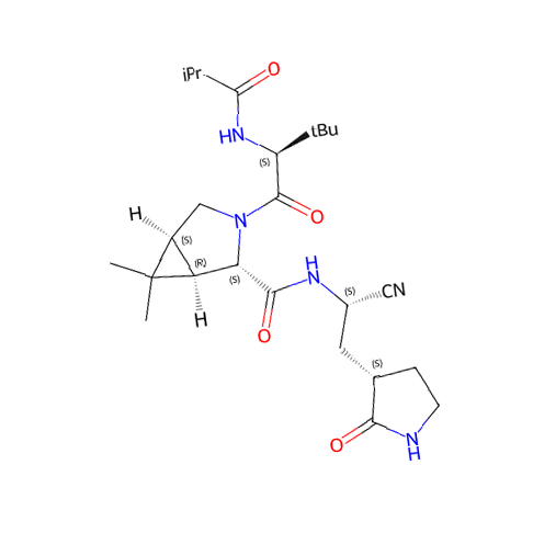 CC(C)C(=O)N[C@H](C(=O)N1C[C@H]2[C@@H]([C@H]1C(=O)N[C@H](C#N)C[C@@H]1CCNC1=O)C2(C)C)C(C)(C)C